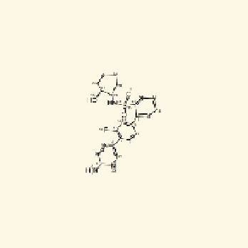 Nc1cnc(-c2ccc(-c3ccccc3S(=O)(=O)N[C@@H]3CCCC[C@@H]3O)cc2F)cn1